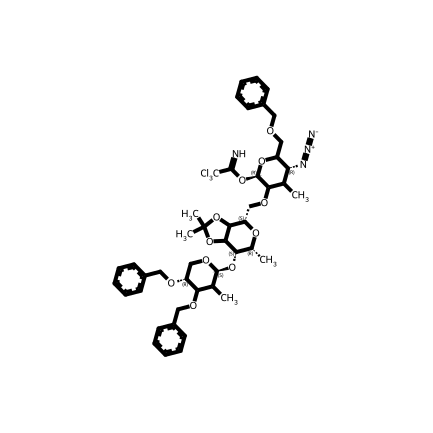 CC1C(OCc2ccccc2)[C@H](OCc2ccccc2)CO[C@H]1O[C@@H]1C2OC(C)(C)OC2[C@H](COC2C(C)[C@@H](N=[N+]=[N-])C(COCc3ccccc3)O[C@@H]2OC(=N)C(Cl)(Cl)Cl)O[C@@H]1C